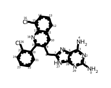 Nc1nc(N)c2nc(Cc3cc4cccc(Cl)c4nc3-c3ccccc3Cl)[nH]c2n1